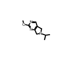 COc1ncc2c(n1)CN(C(C)C)C2